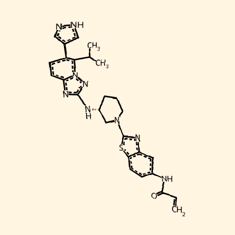 C=CC(=O)Nc1ccc2sc(N3CCC[C@@H](Nc4nc5ccc(-c6cn[nH]c6)c(C(C)C)n5n4)C3)nc2c1